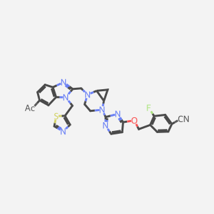 CC(=O)c1ccc2nc(CN3CCN(c4nccc(OCc5ccc(C#N)cc5F)n4)C4CC43)n(Cc3cncs3)c2c1